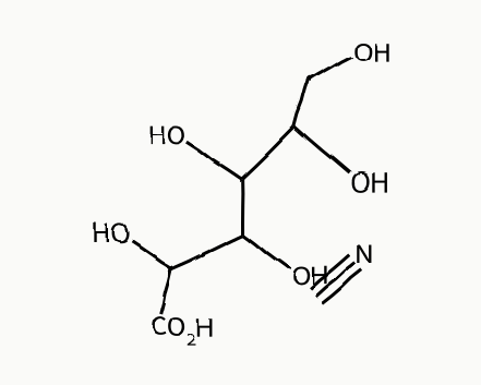 C#N.O=C(O)C(O)C(O)C(O)C(O)CO